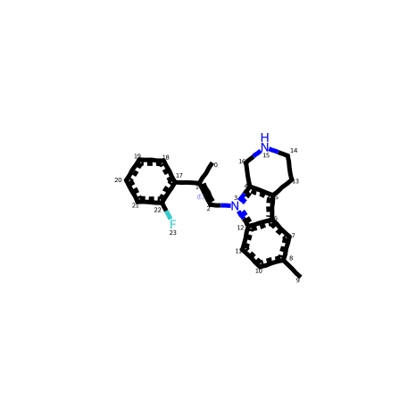 C/C(=C\n1c2c(c3cc(C)ccc31)CCNC2)c1ccccc1F